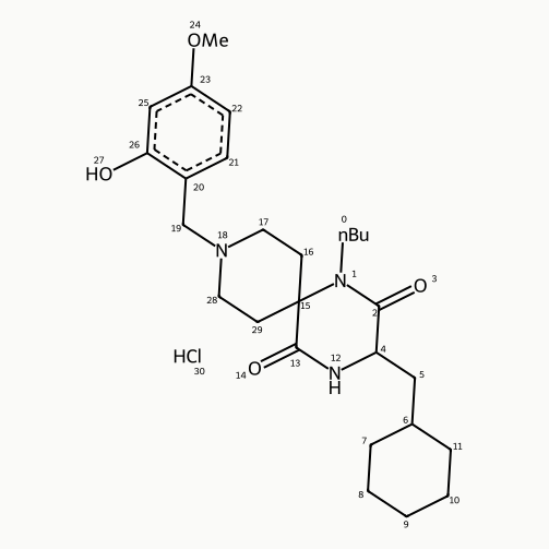 CCCCN1C(=O)C(CC2CCCCC2)NC(=O)C12CCN(Cc1ccc(OC)cc1O)CC2.Cl